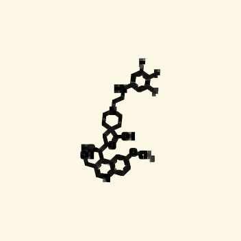 COc1ccc2ncc(CO)c([C@@H](O)CCC3(C(=O)O)CCN(CCNc4cc(F)c(F)c(F)c4)CC3)c2c1